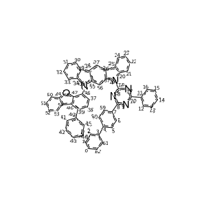 c1ccc(-c2ccc(-c3nc(-c4ccccc4)nc(-n4c5ccccc5c5cc6c7ccccc7n(-c7ccc(-c8ccccc8)c8c7oc7ccccc78)c6cc54)n3)cc2)cc1